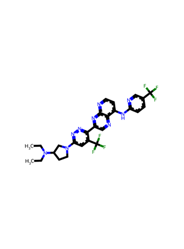 CCN(CC)C1CCN(c2cc(C(F)(F)F)c(-c3cnc4c(Nc5ccc(C(F)(F)F)cn5)ccnc4n3)nn2)C1